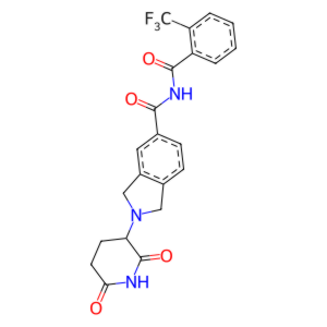 O=C1CCC(N2Cc3ccc(C(=O)NC(=O)c4ccccc4C(F)(F)F)cc3C2)C(=O)N1